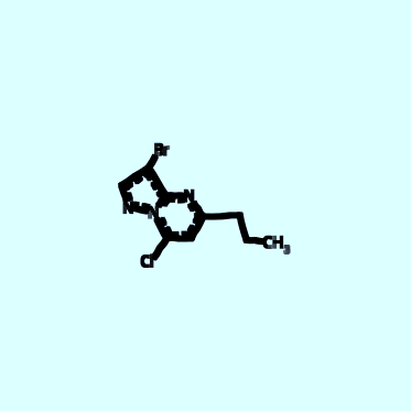 CCCc1cc(Cl)n2ncc(Br)c2n1